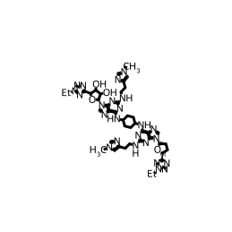 CCn1nnc(C2OC(n3cnc4c(NC5CCC(Nc6nc(NCCc7cn(C)cn7)nc7c6ncn7[C@H]6CC[C@@H](c7nnn(CC)n7)O6)CC5)nc(NCCc5cn(C)cn5)nc43)C(O)C2O)n1